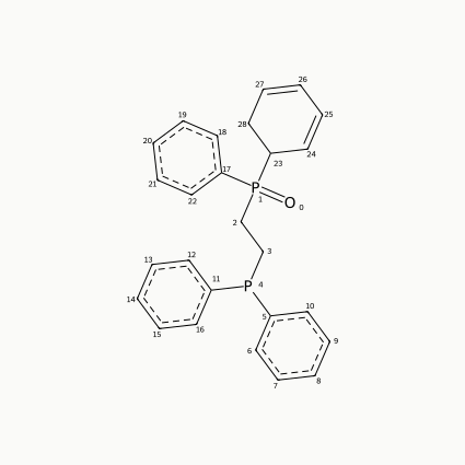 O=P(CCP(c1ccccc1)c1ccccc1)(c1ccccc1)C1C=CC=CC1